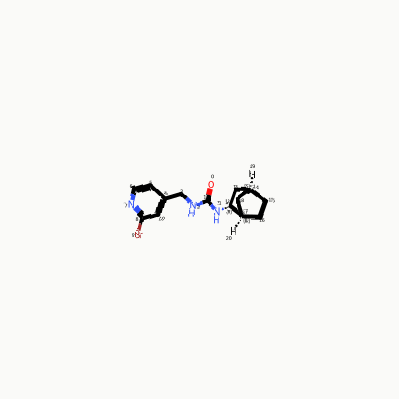 O=C(NCc1ccnc(Br)c1)N[C@@H]1C[C@H]2CC[C@@H]1C2